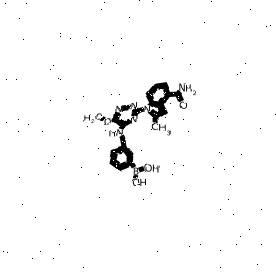 COc1nnc(-n2c(C)cc3c(C(N)=O)cccc32)nc1NCc1cccc(B(O)O)c1